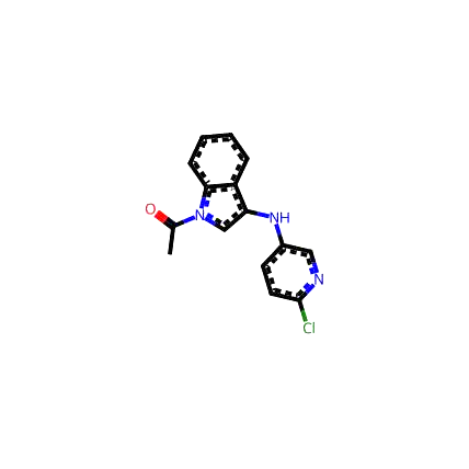 CC(=O)n1cc(Nc2ccc(Cl)nc2)c2ccccc21